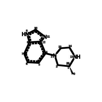 C[C@@H]1CN(c2cccc3[nH]cnc23)CCN1